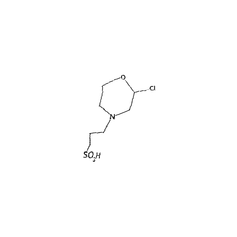 O=S(=O)(O)CCN1CCOC(Cl)C1